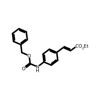 CCOC(=O)C=Cc1ccc(NC(=O)OCc2ccccc2)cc1